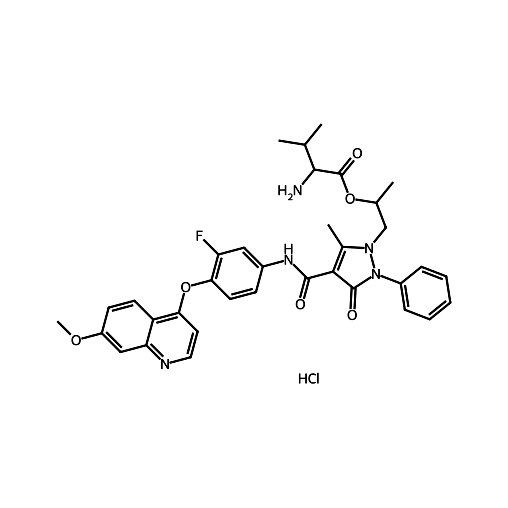 COc1ccc2c(Oc3ccc(NC(=O)c4c(C)n(CC(C)OC(=O)C(N)C(C)C)n(-c5ccccc5)c4=O)cc3F)ccnc2c1.Cl